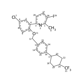 Cc1nc(-c2cc(Cl)ccc2OCc2ccc(C3CCC(C(F)(F)F)CC3)cc2)ccc1I